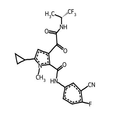 C[C@@H](NC(=O)C(=O)c1cc(C2CC2)n(C)c1C(=O)Nc1ccc(F)c(C#N)c1)C(F)(F)F